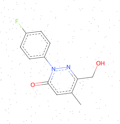 Cc1cc(=O)n(-c2ccc(F)cc2)nc1CO